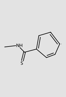 CNC(=S)c1cc[c]cc1